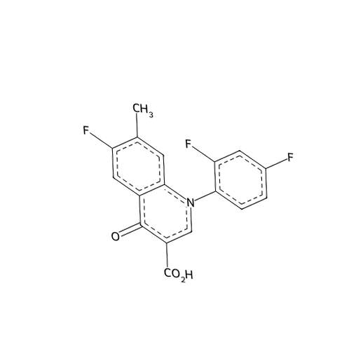 Cc1cc2c(cc1F)c(=O)c(C(=O)O)cn2-c1ccc(F)cc1F